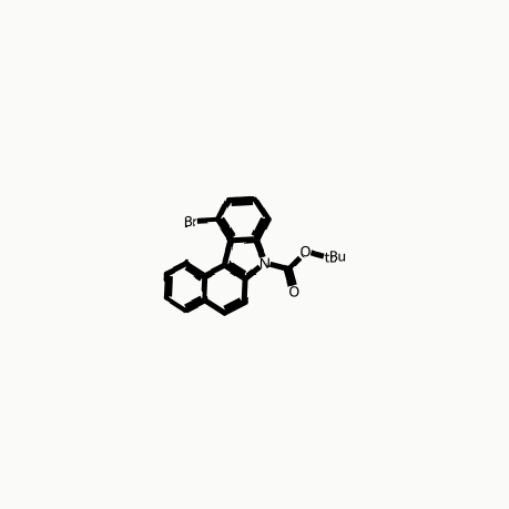 CC(C)(C)OC(=O)n1c2cccc(Br)c2c2c3ccccc3ccc21